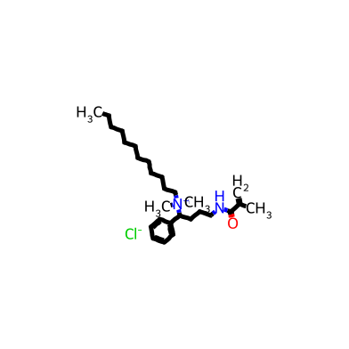 C=C(C)C(=O)NCCCC(c1ccccc1)[N+](C)(C)CCCCCCCCCCCC.[Cl-]